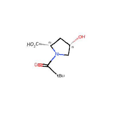 CC(C)(C)C(=O)N1C[C@@H](O)C[C@H]1C(=O)O